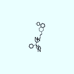 [O]c1cccc2c1CCC(/C=C/Cn1cc(C(c3ccccc3)n3ccnc3)cn1)C2